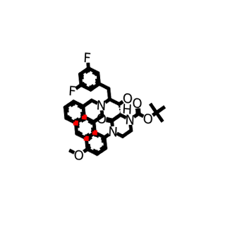 COc1ccc(N2CCN(C(=O)OC(C)(C)C)[C@@H](C(O)C(Cc3cc(F)cc(F)c3)N(Cc3ccccc3)Cc3ccccc3)C2=O)cc1